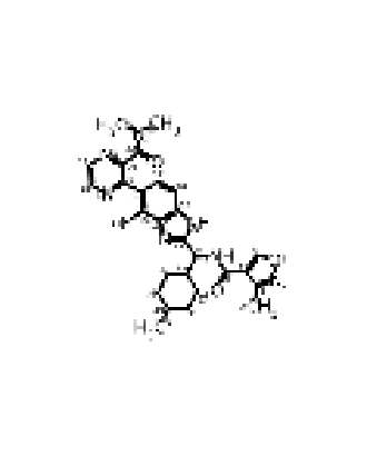 Cc1nocc1C(=O)NC(c1nc2c(F)c(-c3nccnc3C(=O)N(C)C)ccc2[nH]1)C1CCC(C)CC1